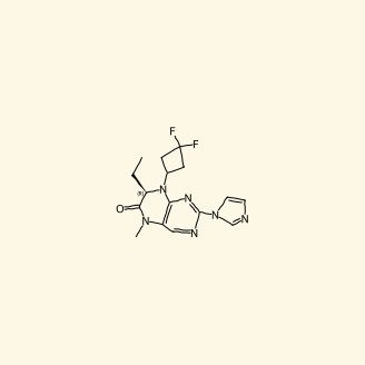 CC[C@@H]1C(=O)N(C)c2cnc(-n3ccnc3)nc2N1C1CC(F)(F)C1